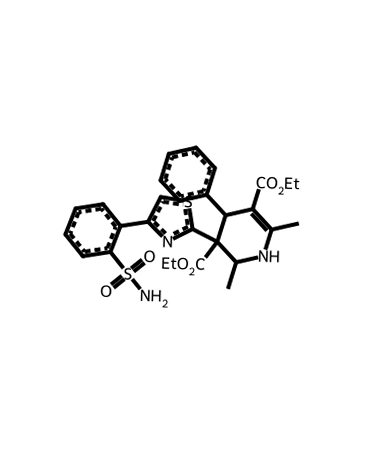 CCOC(=O)C1=C(C)NC(C)C(C(=O)OCC)(c2nc(-c3ccccc3S(N)(=O)=O)cs2)C1c1ccccc1